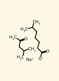 CC(=O)CC(C)C.CC(C)CCCCC(=O)[O-].[Na+]